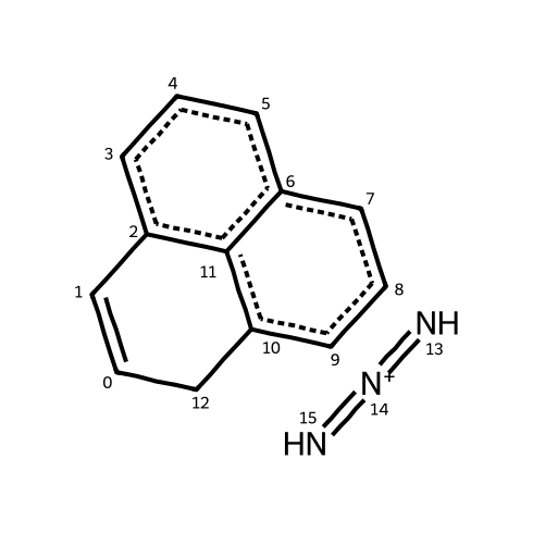 C1=Cc2cccc3cccc(c23)C1.N=[N+]=N